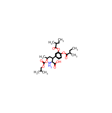 CCC(C)C(=O)Oc1ccc(C(CC(C)OC(=O)OCC(C)C)[C@H](N)C(=O)O)cc1OC(=O)C(C)CC